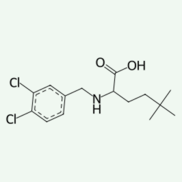 CC(C)(C)CCC(NCc1ccc(Cl)c(Cl)c1)C(=O)O